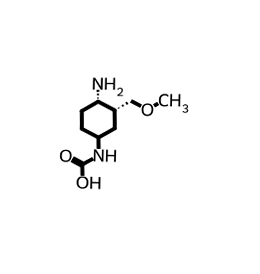 COC[C@@H]1CC(NC(=O)O)CC[C@@H]1N